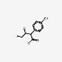 O=C(O)C(c1ccc(O)cc1)C(O)CO